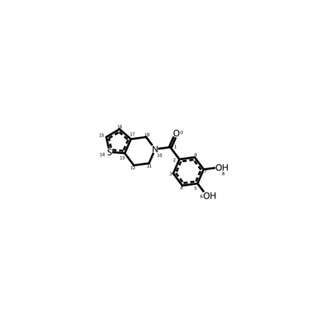 O=C(c1ccc(O)c(O)c1)N1CCc2sccc2C1